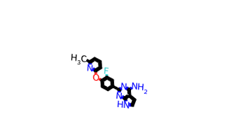 Cc1cccc(Oc2ccc(-c3nc(N)c4cc[nH]c4n3)cc2F)n1